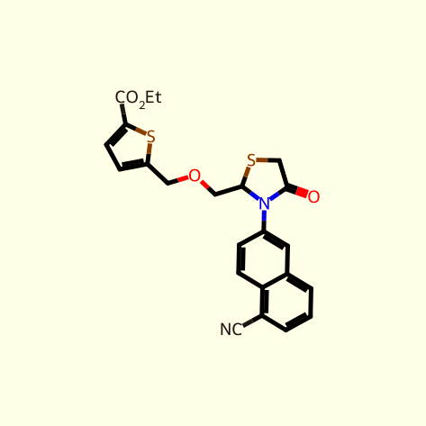 CCOC(=O)c1ccc(COCC2SCC(=O)N2c2ccc3c(C#N)cccc3c2)s1